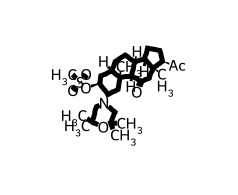 CC(=O)[C@H]1CC[C@H]2[C@@H]3CC[C@H]4C[C@H](OS(C)(=O)=O)[C@@H](N5CC(C)(C)OC(C)(C)C5)C[C@]4(C)[C@H]3C(=O)C[C@]12C